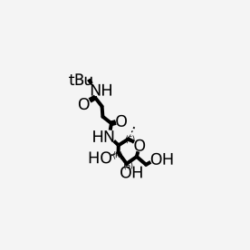 C[C@@H]1OC(CO)[C@@H](O)[C@H](O)C1NC(=O)CCC(=O)NC(C)(C)C